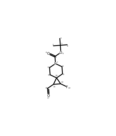 CC(C)(C)OC(=O)N1CCC2(CC1)C(F)C2C=O